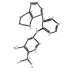 Cc1cc(Oc2ncncc2-c2cccc3c2OCC3)cnc1C(F)F